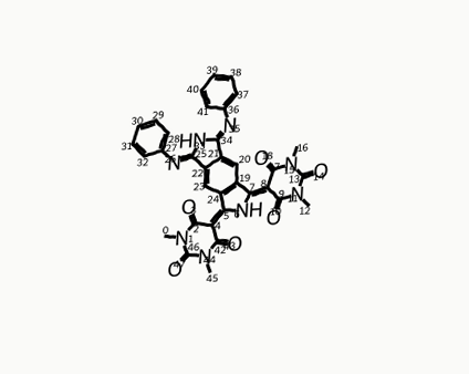 CN1C(=O)C(=c2[nH]c(=C3C(=O)N(C)C(=O)N(C)C3=O)c3cc4c(cc23)/C(=N/c2ccccc2)N/C4=N\c2ccccc2)C(=O)N(C)C1=O